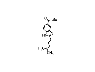 CN(C)CCCc1nc2cc(C(=O)C(C)(C)C)ccc2[nH]1